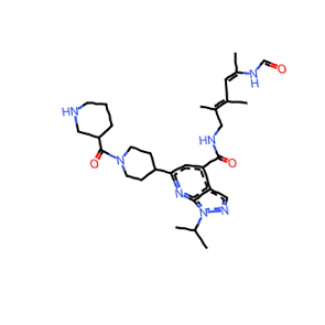 C/C(=C/C(C)=C(\C)CNC(=O)c1cc(C2CCN(C(=O)C3CCCNC3)CC2)nc2c1cnn2C(C)C)NC=O